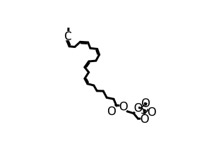 CC/C=C\C/C=C\C/C=C\C/C=C\C/C=C\CCCCCC(=O)OCC1COS(=O)(=O)O1